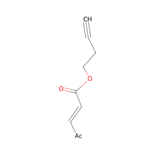 C#CCCOC(=O)/C=C/C(C)=O